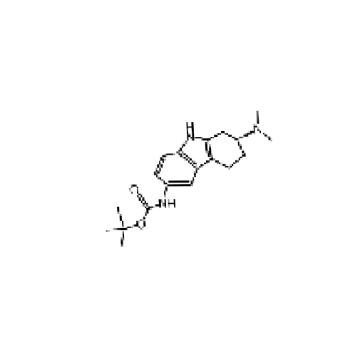 CN(C)[C@H]1CCc2c([nH]c3ccc(NC(=O)OC(C)(C)C)cc23)C1